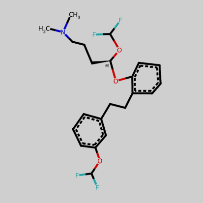 CN(C)CCC[C@H](Oc1ccccc1CCc1cccc(OC(F)F)c1)OC(F)F